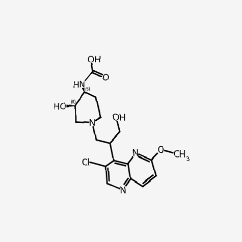 COc1ccc2ncc(Cl)c(C(CO)CN3CC[C@H](NC(=O)O)[C@H](O)C3)c2n1